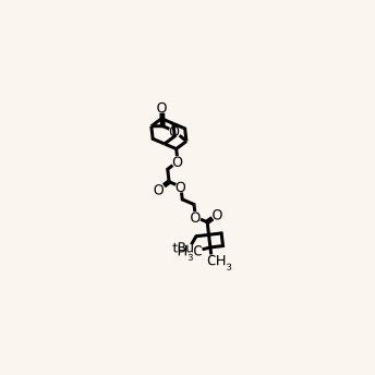 CC(C)(C)CC1(C(=O)OCCOC(=O)COC2C3CC4CC(C3)C(=O)OC2C4)CCC1(C)C